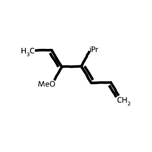 C=C/C=C(/C(=C/C)OC)C(C)C